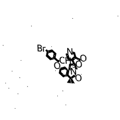 CC(Oc1ccc(C2(C(=O)N3CCC4(C3)OC(=O)c3cnccc34)CC2)cc1)c1ccc(Br)cc1